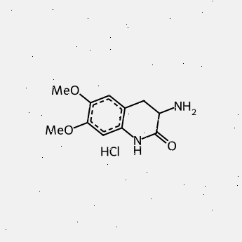 COc1cc2c(cc1OC)NC(=O)C(N)C2.Cl